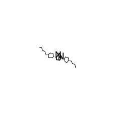 CCCCC[C@H]1CC[C@H](c2ccc([C@H]3CC[C@H](CCCC)CC3)nn2)CC1